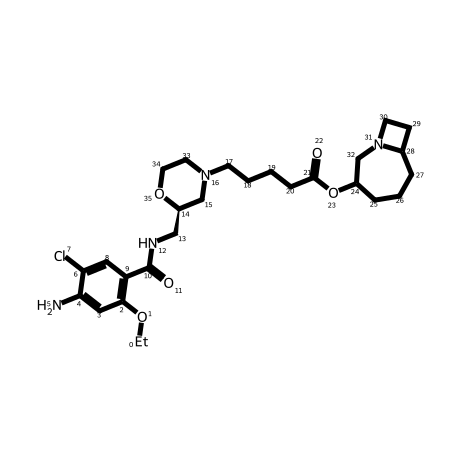 CCOc1cc(N)c(Cl)cc1C(=O)NC[C@@H]1CN(CCCCC(=O)OC2CCCC3CCN3C2)CCO1